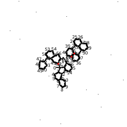 CC1(C)c2ccc3ccccc3c2-c2cccc(N(c3ccc(-c4cccc5cccc(-c6ccccc6)c45)cc3)c3ccc4c(-c5ccccc5)cccc4c3)c21